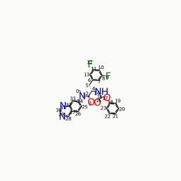 CN(C(=O)[C@H](Cc1cc(F)cc(F)c1)NC(=O)Oc1ccccc1)c1ccc2cncnc2c1